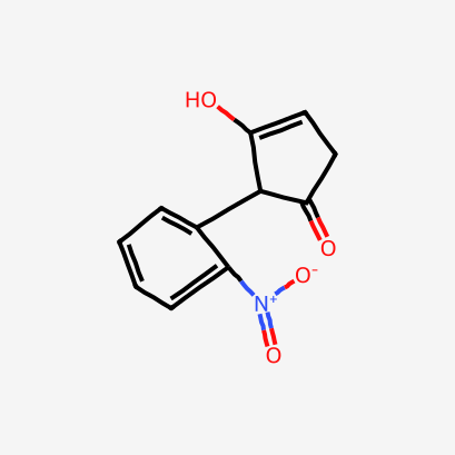 O=C1CC=C(O)C1c1ccccc1[N+](=O)[O-]